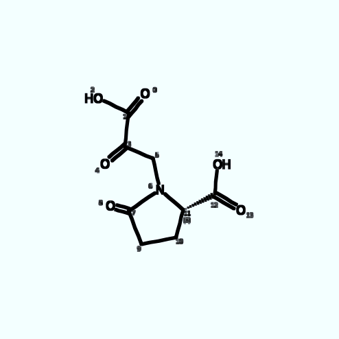 O=C(O)C(=O)CN1C(=O)CC[C@H]1C(=O)O